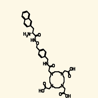 N[C@H](Cc1ccc2ccccc2c1)C(=O)NOCc1ccc(CNC(=O)CN2CCN(CC(=O)O)CCN(CC(=O)O)CCN(CC(=O)O)CC2)cc1